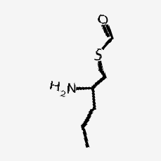 CCCC(N)CSC=O